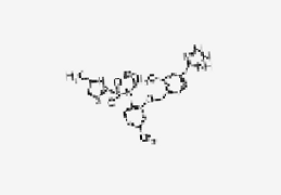 Cc1csc(S(=O)(=O)N(CC(C)C)c2ccc(C(F)(F)F)cc2OCc2ccc(-c3nnn[nH]3)cc2C)n1